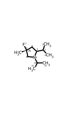 CC(C)C1C[C@@](C)(F)CN1C(C)C